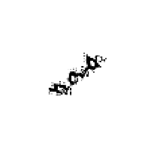 COc1ccc(-c2ncc(-c3cccc(Nc4ccc(C)cn4)n3)s2)cc1